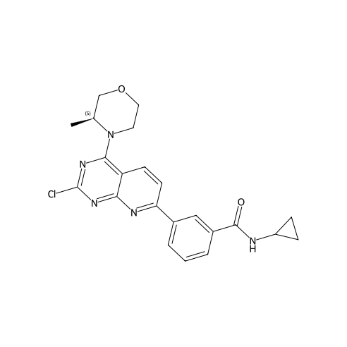 C[C@H]1COCCN1c1nc(Cl)nc2nc(-c3cccc(C(=O)NC4CC4)c3)ccc12